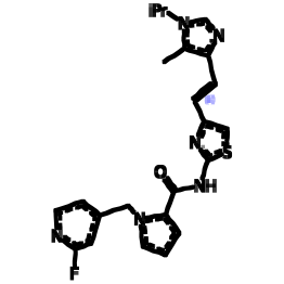 Cc1c(/C=C/c2csc(NC(=O)c3cccn3Cc3ccnc(F)c3)n2)ncn1C(C)C